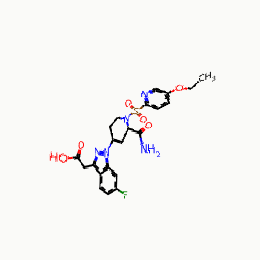 CCOc1ccc(S(=O)(=O)N2CCC(n3nc(CC(=O)O)c4ccc(F)cc43)CC2C(N)=O)nc1